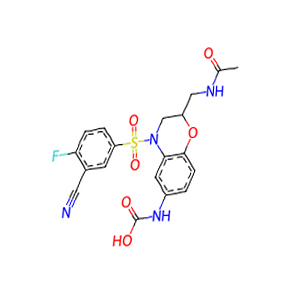 CC(=O)NCC1CN(S(=O)(=O)c2ccc(F)c(C#N)c2)c2cc(NC(=O)O)ccc2O1